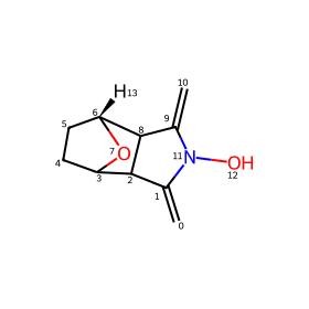 C=C1C2C3CC[C@@H](O3)C2C(=C)N1O